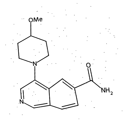 COC1CCN(c2cncc3ccc(C(N)=O)cc23)CC1